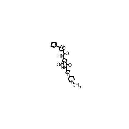 CN1CCC(N2CC(N(NC=O)C(=O)C3CC(NC(=O)c4cc(-c5ccccc5)no4)C3)C2)CC1